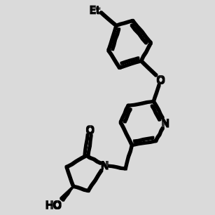 CCc1ccc(Oc2ccc(CN3C[C@@H](O)CC3=O)cn2)cc1